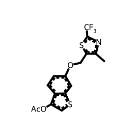 CC(=O)Oc1csc2cc(OCc3sc(C(F)(F)F)nc3C)ccc12